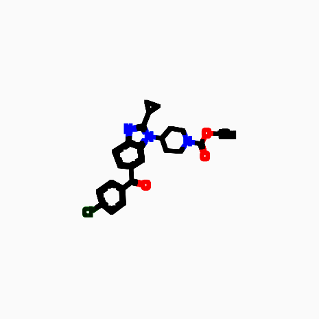 CC(C)(C)OC(=O)N1CCC(n2c(C3CC3)nc3ccc(C(=O)c4ccc(Cl)cc4)cc32)CC1